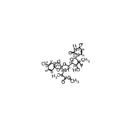 COC(=O)C(C)NP(=O)(OCC1OC(n2ccc(=O)[nH]c2=O)[C@@](C)(F)C1O)Oc1ccc(Cl)cc1Cl